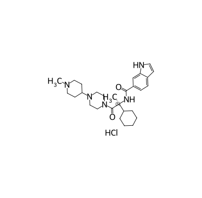 CN1CCC(N2CCN(C(=O)[C@@](C)(NC(=O)c3ccc4cc[nH]c4c3)C3CCCCC3)CC2)CC1.Cl